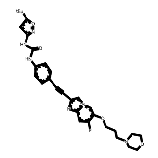 CC(C)(C)c1cc(NC(=O)Nc2ccc(C#Cc3cn4cc(OCCCN5CCOCC5)c(F)cc4n3)cc2)no1